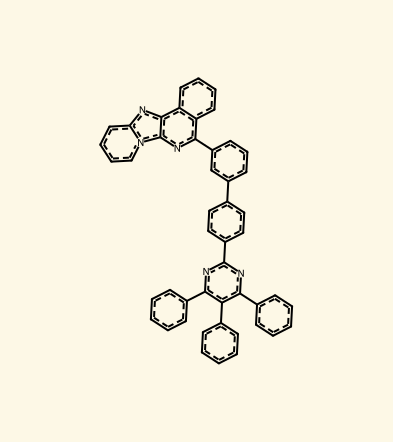 c1ccc(-c2nc(-c3ccc(-c4cccc(-c5nc6c(nc7ccccn76)c6ccccc56)c4)cc3)nc(-c3ccccc3)c2-c2ccccc2)cc1